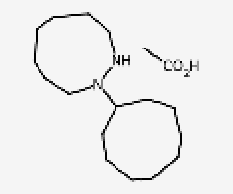 C1CCCCC(N2CCCCCCCN2)CCC1.CC(=O)O